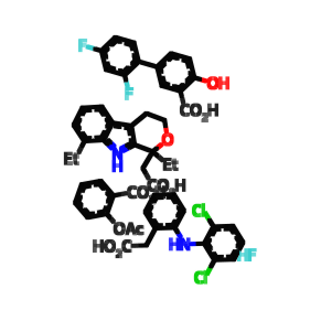 CC(=O)Oc1ccccc1C(=O)O.CCc1cccc2c3c([nH]c12)C(CC)(CC(=O)O)OCC3.F.O=C(O)Cc1ccccc1Nc1c(Cl)cccc1Cl.O=C(O)c1cc(-c2ccc(F)cc2F)ccc1O